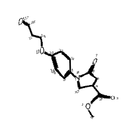 COC(=O)C1CC(=O)N(c2ccc(OCCCCl)cc2)C1